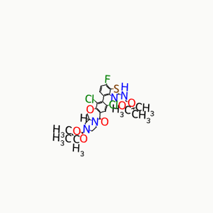 CC(C)(C)OC(=O)Nc1nc2c(-c3c(Cl)cc4c(c3Cl)OC[C@H]3CN(C(=O)OC(C)(C)C)CCN3C4=O)ccc(F)c2s1